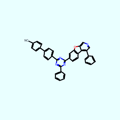 N#Cc1ccc(-c2ccc(-c3nc(-c4ccccc4)nc(-c4ccc5c(c4)oc4cncc(-c6ccccc6)c45)n3)cc2)cc1